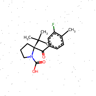 Cc1ccc(C(=O)[C@@]2(C(C)(C)C)CCCN2C(=O)O)cc1F